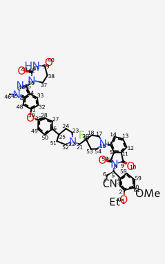 CCOc1cc([C@@H](CC#N)N2C(=O)c3cccc(N4CCC(F)(CN5CCC(c6ccc(Oc7ccc8c(N9CCC(=O)NC9=O)nn(C)c8c7)cc6)CC5)CC4)c3C2=O)ccc1OC